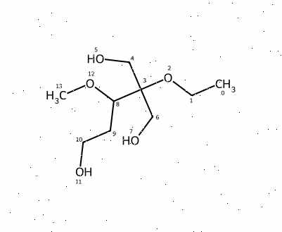 CCOC(CO)(CO)C(CCO)OC